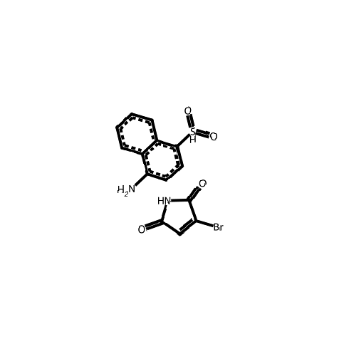 Nc1ccc([SH](=O)=O)c2ccccc12.O=C1C=C(Br)C(=O)N1